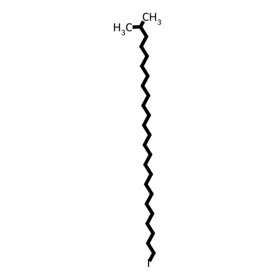 CC(C)CCCCCCCCCCCCCCCCCCCCCCCI